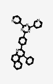 c1ccc(-c2cc(-c3ccc(-c4nc(-c5cccnc5)nc(-c5cccnc5)n4)cc3)nc3ccc4ccccc4c23)cc1